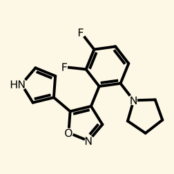 Fc1ccc(N2CCCC2)c(-c2cnoc2-c2cc[nH]c2)c1F